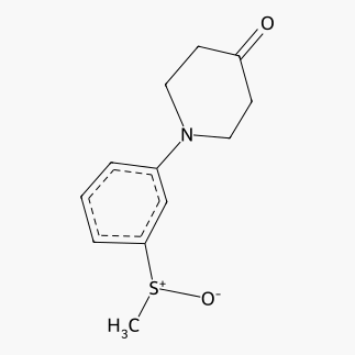 C[S+]([O-])c1cccc(N2CCC(=O)CC2)c1